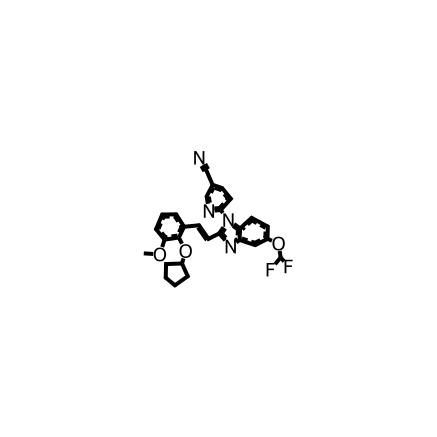 COc1cccc(/C=C/c2nc3cc(OC(F)F)ccc3n2-c2ccc(C#N)cn2)c1OC1CCCC1